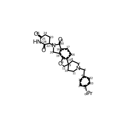 CC(C)c1ccc(CN2CCC3(CC2)COc2c3ccc3c2CN(C2CCC(=O)NC2=O)C3=O)cc1